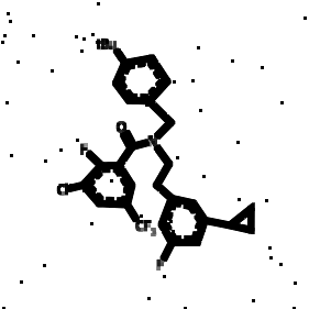 CC(C)(C)c1ccc(CN(CCc2cc(F)cc(C3CC3)c2)C(=O)c2cc(C(F)(F)F)cc(Cl)c2F)cc1